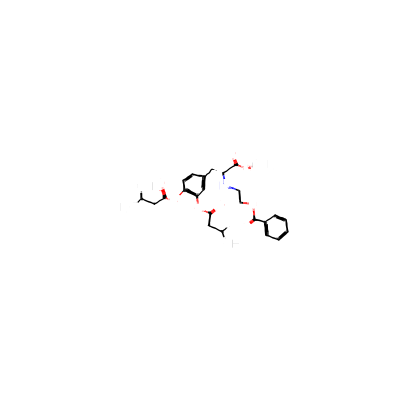 COC(=O)[C@H](Cc1ccc(OC(=O)CC(C)C)c(OC(=O)CC(C)C)c1)NCCOC(=O)c1ccccc1